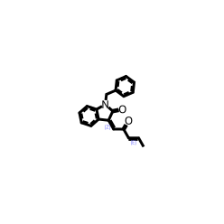 C/C=C/C(=O)/C=C1\C(=O)N(Cc2ccccc2)c2ccccc21